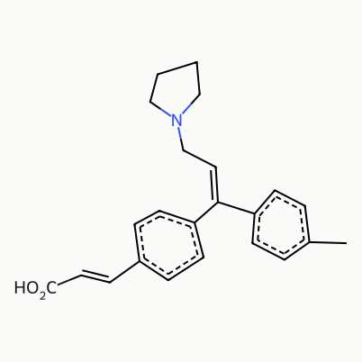 Cc1ccc(C(=CCN2CCCC2)c2ccc(/C=C/C(=O)O)cc2)cc1